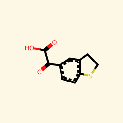 O=C(O)C(=O)c1ccc2c(c1)CCS2